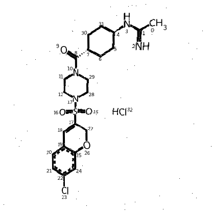 CC(=N)N[C@H]1CC[C@H](C(=O)N2CCN(S(=O)(=O)C3=Cc4ccc(Cl)cc4OC3)CC2)CC1.Cl